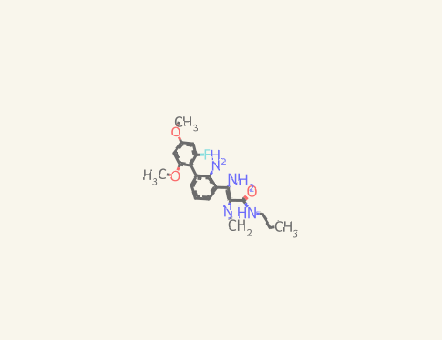 C=N/C(C(=O)NCCC)=C(/N)c1cccc(-c2c(F)cc(OC)cc2OC)c1N